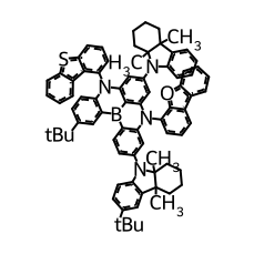 CC(C)(C)c1ccc2c(c1)B1c3ccc(N4c5ccc(C(C)(C)C)cc5C5(C)CCCCC45C)cc3N(c3cccc4c3oc3ccccc34)c3cc(N4c5ccccc5C5(C)CCCCC45C)cc(c31)N2c1cccc2sc3ccccc3c12